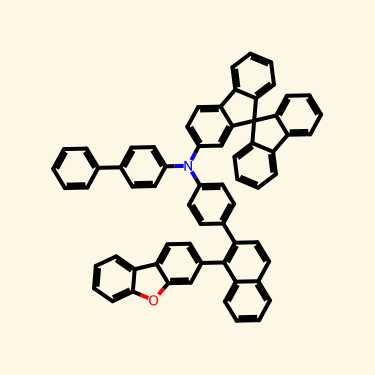 c1ccc(-c2ccc(N(c3ccc(-c4ccc5ccccc5c4-c4ccc5c(c4)oc4ccccc45)cc3)c3ccc4c(c3)C3(c5ccccc5-c5ccccc53)c3ccccc3-4)cc2)cc1